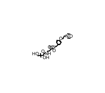 CC(C)(CO)[C@@H](O)C(=O)NCCC(=O)C(=O)NCc1ccc(OCCN2CCOCC2)cc1